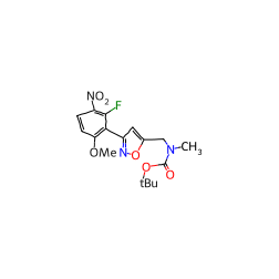 COc1ccc([N+](=O)[O-])c(F)c1-c1cc(CN(C)C(=O)OC(C)(C)C)on1